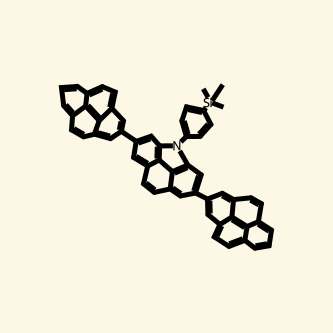 C[Si](C)(C)c1ccc(-n2c3cc(-c4cc5ccc6cccc7ccc(c4)c5c67)cc4ccc5cc(-c6cc7ccc8cccc9ccc(c6)c7c89)cc2c5c43)cc1